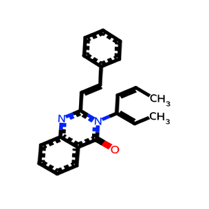 C/C=C\C(=C/C)n1c(/C=C/c2ccccc2)nc2ccccc2c1=O